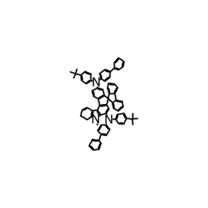 Cn1c2c(c3c4c(cc(N(c5ccc(-c6ccccc6)cc5)c5ccc(C(C)(C)C)cc5)c31)C1(c3ccccc3-c3ccccc31)c1cc(N(c3ccc(-c5ccccc5)cc3)c3ccc(C(C)(C)C)cc3)ccc1-4)C=CCC2